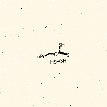 CCCCOC(=S)S.SS